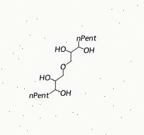 CCCCCC(O)C(O)COCC(O)C(O)CCCCC